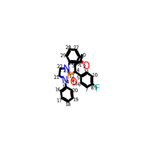 CC(=O)CC(c1ccc(F)cc1)P1(=O)N(c2ccccc2)CCN1c1ccccc1